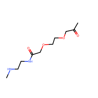 CNCCNC(=O)COCCOCC(C)=O